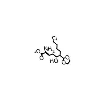 COC(=O)/C(N)=C/C[C@@H](O)C(CCCCCl)C1OCCO1